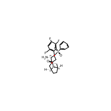 N[C@H](Cc1cc(F)c(F)cc1F)[C@@H]1C[C@H]2CC[C@@H](C1)N2C(=O)CCS(=O)(=O)c1ccccc1